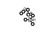 c1ccc(C2=NC(c3ccccc3)NC(c3cccc4oc5c(-c6cccc7oc8cc9ccccc9cc8c67)ccnc5c34)=N2)cc1